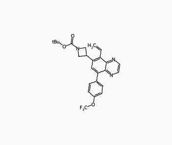 C=Cc1c(C2CN(C(=O)OC(C)(C)C)C2)cc(-c2ccc(OC(F)(F)F)cc2)c2nccnc12